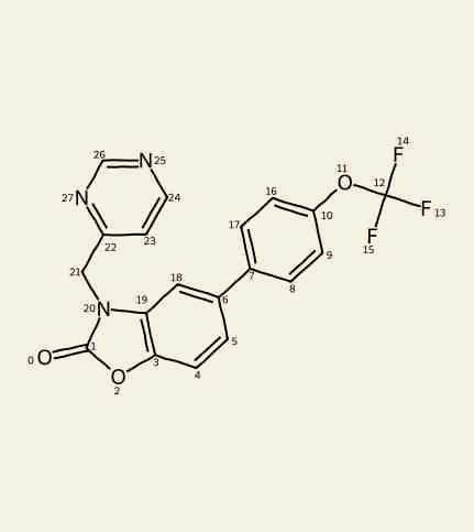 O=c1oc2ccc(-c3ccc(OC(F)(F)F)cc3)cc2n1Cc1ccncn1